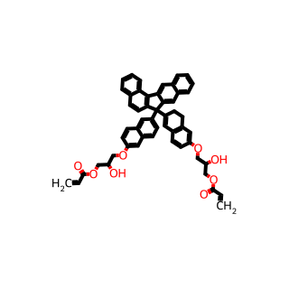 C=CC(=O)OCC(O)COc1ccc2c(c1)CCC(C1(c3ccc4cc(OCC(O)COC(=O)C=C)ccc4c3)c3cc4ccccc4cc3-c3c1ccc1ccccc31)=C2